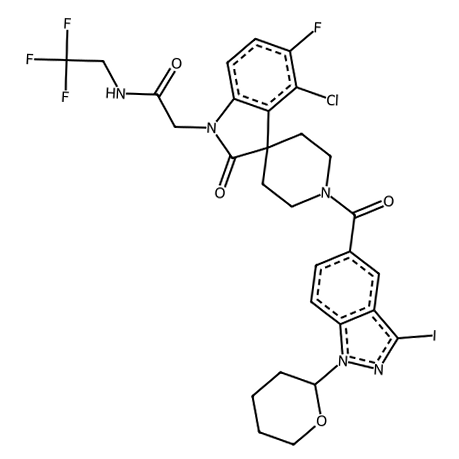 O=C(CN1C(=O)C2(CCN(C(=O)c3ccc4c(c3)c(I)nn4C3CCCCO3)CC2)c2c1ccc(F)c2Cl)NCC(F)(F)F